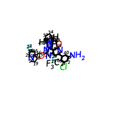 Nc1cc(Cl)c(C(F)(F)F)c(-c2nc3c4c(nc(OC[C@@]56CCCN5C[C@H](F)C6)nc4c2F)N2C[C@H]4CC[C@H](N4)[C@H]2CO3)c1